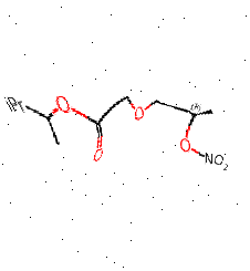 CC(C)C(C)OC(=O)COC[C@@H](C)O[N+](=O)[O-]